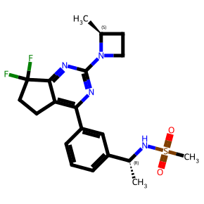 C[C@@H](NS(C)(=O)=O)c1cccc(-c2nc(N3CC[C@@H]3C)nc3c2CCC3(F)F)c1